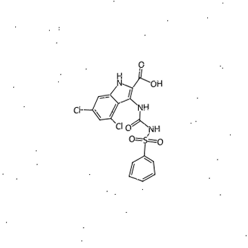 O=C(Nc1c(C(=O)O)[nH]c2cc(Cl)cc(Cl)c12)NS(=O)(=O)c1ccccc1